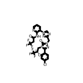 O=C(CC(F)(F)F)Nc1ncccc1-n1cnc(Cn2nc(-c3ccc(Cl)cc3)n(C[C@H](O)C(F)(F)F)c2=O)n1